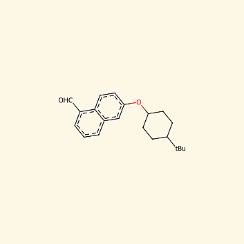 CC(C)(C)C1CCC(Oc2ccc3c(C=O)cccc3c2)CC1